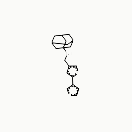 c1cc(-c2cc(CNC34CC5CC(CC(C5)C3)C4)co2)cs1